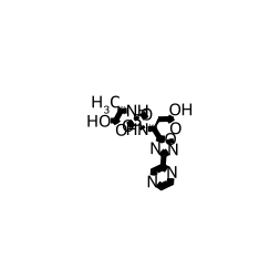 C[C@H](NS(=O)(=O)N[C@@H](CC(=O)O)c1nc(-c2cnccn2)no1)C(=O)O